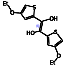 CCOc1csc(/C(O)=C(\O)c2cc(OCC)cs2)c1